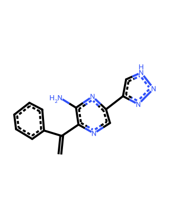 C=C(c1ccccc1)c1ncc(-c2c[nH]nn2)nc1N